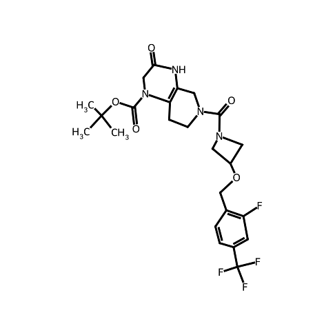 CC(C)(C)OC(=O)N1CC(=O)NC2=C1CCN(C(=O)N1CC(OCc3ccc(C(F)(F)F)cc3F)C1)C2